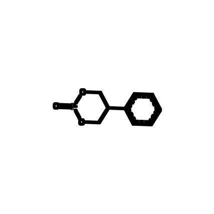 O=[P]1OCC(c2ccccc2)CO1